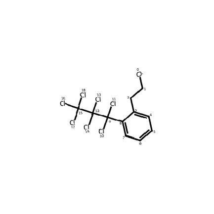 [O]CCc1ccccc1C(Cl)(Cl)C(Cl)(Cl)C(Cl)(Cl)Cl